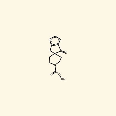 CC(C)(C)OC(=O)N1CCC2(CC1)Cc1sccc1C2=O